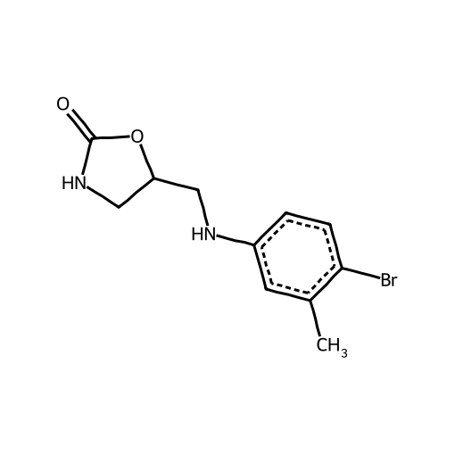 Cc1cc(NCC2CNC(=O)O2)ccc1Br